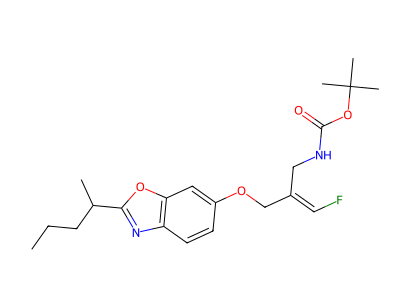 CCCC(C)c1nc2ccc(OC/C(=C/F)CNC(=O)OC(C)(C)C)cc2o1